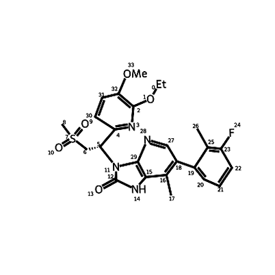 CCOc1nc([C@@H](CS(C)(=O)=O)n2c(=O)[nH]c3c(C)c(-c4cccc(F)c4C)cnc32)ccc1OC